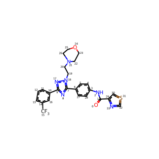 O=C(Nc1ccc(-c2nc(-c3cccc(C(F)(F)F)c3)nn2CCN2CCOCC2)cc1)c1cscn1